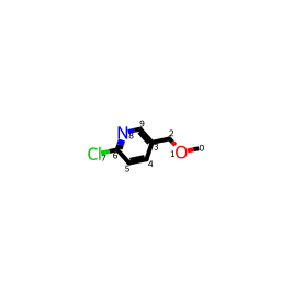 COCc1ccc(Cl)nc1